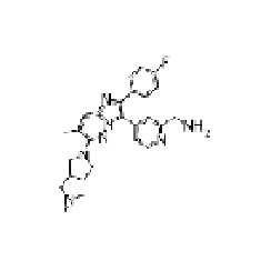 Cc1cc2nc(-c3ccc(F)cc3)c(-c3ccnc(CN)c3)n2nc1N1CC2CN(C)CC2C1